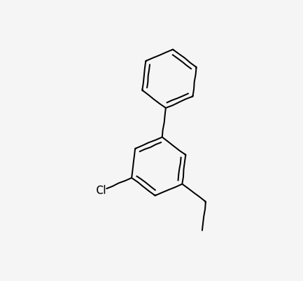 CCc1cc(Cl)cc(-c2ccccc2)c1